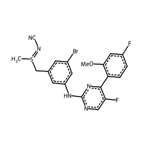 COc1cc(F)ccc1-c1nc(Nc2cc(Br)cc(CS(C)=NC#N)c2)ncc1F